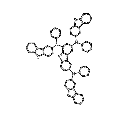 c1ccc(N(c2ccc3sc4ccccc4c3c2)c2ccc3sc4c(N(c5ccccc5)c5ccc6sc7ccccc7c6c5)cc(N(c5ccccc5)c5ccc6sc7ccccc7c6c5)cc4c3c2)cc1